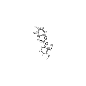 CCc1cccc(OC(=O)Oc2ccc(C)c(C)c2C)c1CC